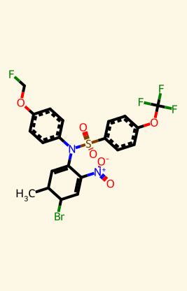 CC1C=C(N(c2ccc(OCF)cc2)S(=O)(=O)c2ccc(OC(F)(F)F)cc2)C([N+](=O)[O-])=CC1Br